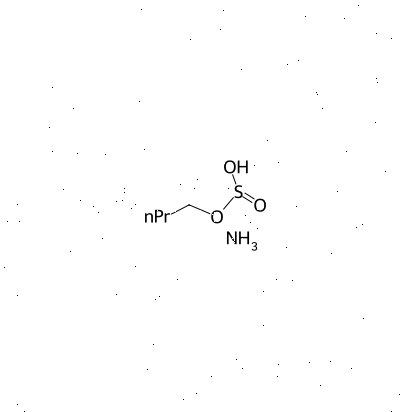 CCCCOS(=O)O.N